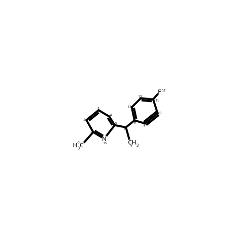 Cc1cccc(C(C)c2c#cc(F)cc2)n1